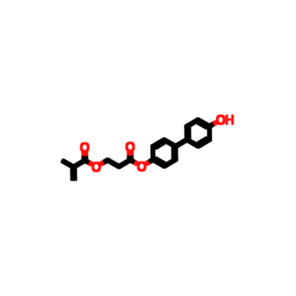 C=C(C)C(=O)OCCC(=O)Oc1ccc(-c2ccc(O)cc2)cc1